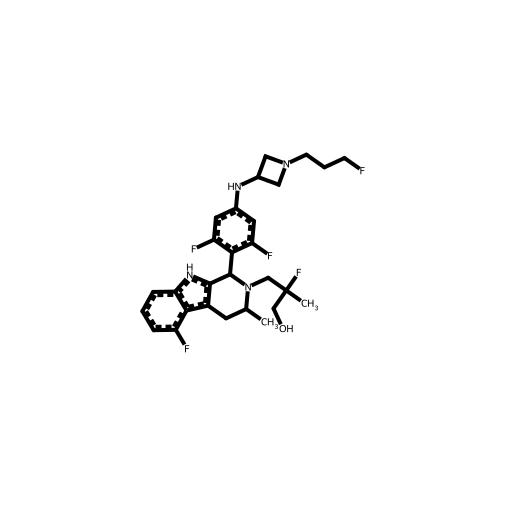 CC1Cc2c([nH]c3cccc(F)c23)C(c2c(F)cc(NC3CN(CCCF)C3)cc2F)N1CC(C)(F)CO